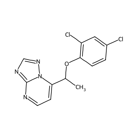 CC(Oc1ccc(Cl)cc1Cl)c1ccnc2ncnn12